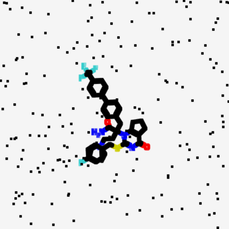 CCN(CC)CCC(Cc1ccc(-c2ccc(C(F)(F)F)cc2)cc1)(C(N)=O)n1c(SCc2ccc(F)cc2)nc(=O)c2c1CCC2